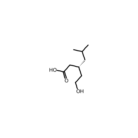 CC(C)C[C@H](CCO)CC(=O)O